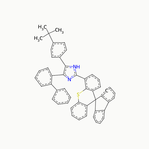 CC(C)(C)c1ccc(-c2[nH]c(-c3cccc4c3Sc3ccccc3C43c4ccccc4-c4ccccc43)nc2-c2ccccc2-c2ccccc2)cc1